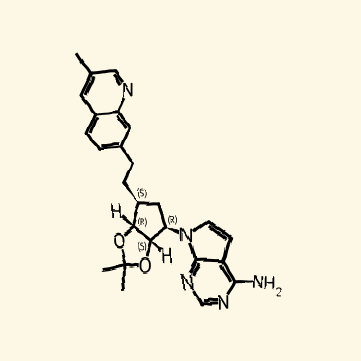 Cc1cnc2cc(CC[C@H]3C[C@@H](n4ccc5c(N)ncnc54)[C@@H]4OC(C)(C)O[C@H]34)ccc2c1